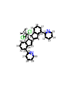 C[SiH](C)[Zr]([Cl])([Cl])([CH]1C=Cc2c(-c3ccccn3)cccc21)[CH]1C=Cc2c(-c3ccccn3)cccc21